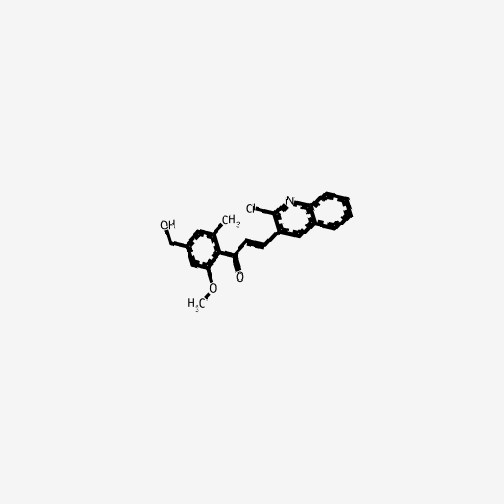 COc1cc(CO)cc(C)c1C(=O)/C=C/c1cc2ccccc2nc1Cl